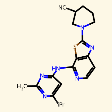 Cc1nc(Nc2nccc3nc(N4CCCC(C#N)C4)sc23)cc(C(C)C)n1